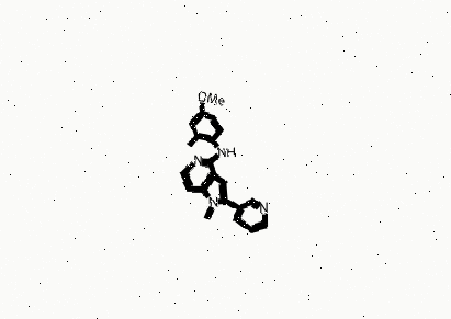 COc1ccc(Nc2nccc3c2cc(-c2cccnc2)n3C)c(C)c1